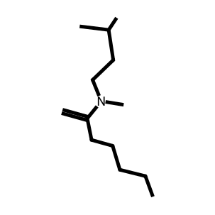 C=C(CCCCC)N(C)CCC(C)C